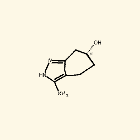 Nc1[nH]nc2c1CC[C@@H](O)C2